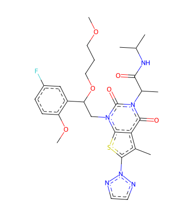 COCCCOC(Cn1c(=O)n(C(C)C(=O)NC(C)C)c(=O)c2c(C)c(-n3nccn3)sc21)c1cc(F)ccc1OC